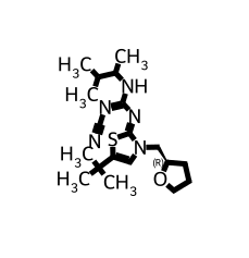 CC(C)C(C)NC(=NC#N)N=c1sc(C(C)(C)C)cn1C[C@H]1CCCO1